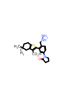 CC1(C)CCc2sc(-c3cc(N4CCCC4=O)ccc3CNN)c(C(=O)O)c2C1